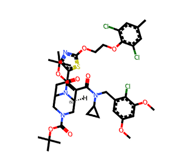 COc1cc(CN(C(=O)C2=C(c3cnc(OCCOc4c(Cl)cc(C)cc4Cl)s3)CC3CN(C(=O)OC(C)(C)C)C[C@H]2N3C(=O)OC(C)(C)C)C2CC2)c(Cl)c(OC)c1